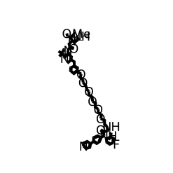 COC[C@H]1CN[C@H](C)CN1CC(=O)N1CC(C)(C)c2ncc(Cc3cccc(OCCOCCOCCOCCOCCOCCN[C@H](Cc4cccc(F)c4)C(=O)Nc4ccc(-c5ccncc5)cc4)c3)cc21